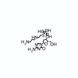 NCCCNCCSP(=O)(O)O.Nc1ncn([C@H]2C[C@H](O)[C@@H](CO)O2)c(=O)n1